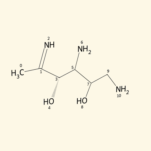 CC(=N)[C@@H](O)C(N)C(O)CN